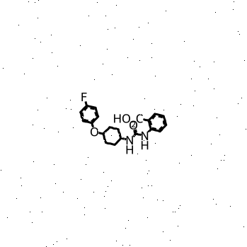 O=C(Nc1ccccc1C(=O)O)NC1CCC(Oc2ccc(F)cc2)CC1